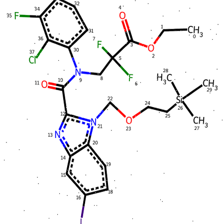 CCOC(=O)C(F)(F)CN(C(=O)c1nc2cc(I)ccc2n1COCC[Si](C)(C)C)c1cccc(F)c1Cl